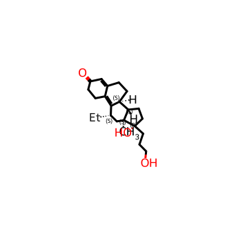 CC[C@H]1C[C@@]2(C)[C@@H](CC[C@@]2(O)CCCO)[C@@H]2CCC3=CC(=O)CCC3=C12